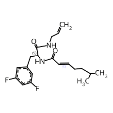 C=CCNC(=O)[C@H](Cc1cc(F)cc(F)c1)NC(=O)/C=C/CCC(C)C